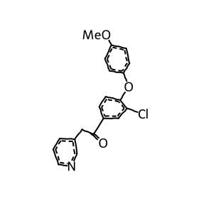 COc1ccc(Oc2ccc(C(=O)Cc3cccnc3)cc2Cl)cc1